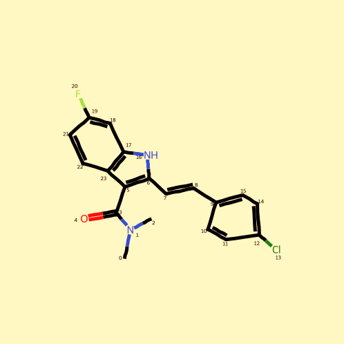 CN(C)C(=O)c1c(/C=C/c2ccc(Cl)cc2)[nH]c2cc(F)ccc12